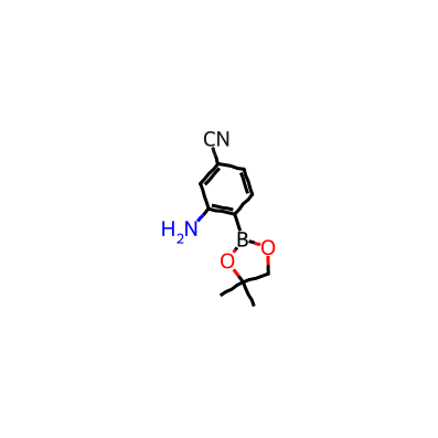 CC1(C)COB(c2ccc(C#N)cc2N)O1